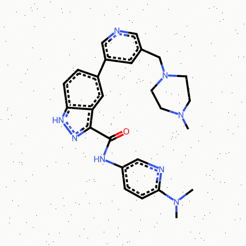 CN1CCN(Cc2cncc(-c3ccc4[nH]nc(C(=O)Nc5ccc(N(C)C)nc5)c4c3)c2)CC1